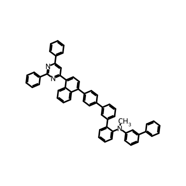 CN(c1cccc(-c2ccccc2)c1)c1ccccc1-c1cccc(-c2ccc(-c3ccc(-c4cc(-c5ccccc5)nc(-c5ccccc5)n4)c4ccccc34)cc2)c1